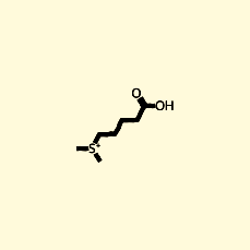 C[S+](C)CCCCC(=O)O